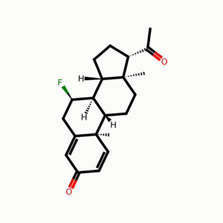 CC(=O)[C@H]1CC[C@H]2[C@@H]3[C@H](F)CC4=CC(=O)C=C[C@]4(C)[C@H]3CC[C@]12C